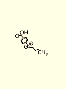 CCCCCS(=O)(=O)c1ccc(C(=O)O)cc1